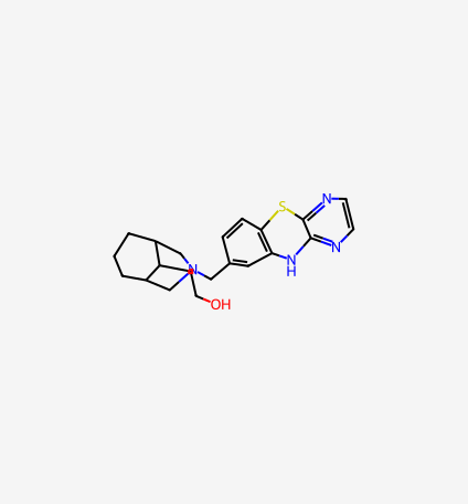 OCCC1C2CCCC1CN(Cc1ccc3c(c1)Nc1nccnc1S3)C2